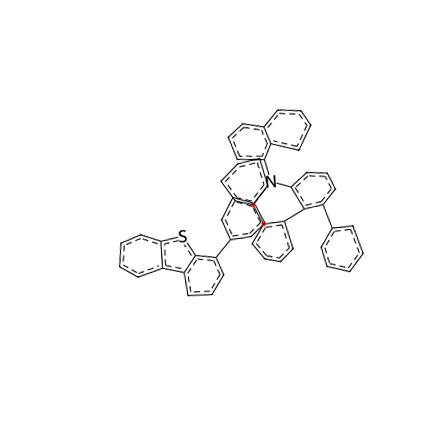 c1ccc(-c2ccccc2-c2c(-c3ccccc3)cccc2N(c2ccc(-c3cccc4c3sc3ccccc34)cc2)c2cccc3ccccc23)cc1